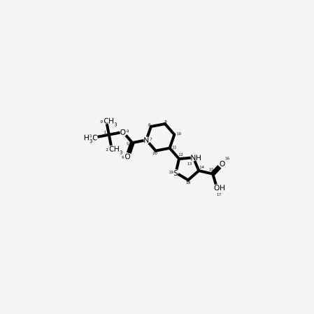 CC(C)(C)OC(=O)N1CCCC(C2NC(C(=O)O)CS2)C1